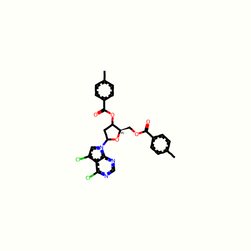 Cc1ccc(C(=O)OC[C@H]2OC(n3cc(Cl)c4c(Cl)ncnc43)CC2OC(=O)c2ccc(C)cc2)cc1